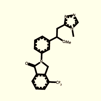 COC(Cc1nncn1C)c1cccc(N2Cc3c(cccc3C(F)(F)F)C2=O)c1